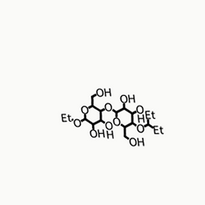 CCOC1OC(CO)C(OC2OC(CO)C(OC(CC)CC)C(O)C2O)C(O)C1O